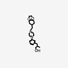 CC(CO)Cc1cccc(N2CCN(CCC3CCC4(CC3)OCCO4)CC2)c1